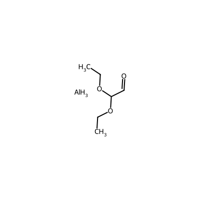 CCOC(C=O)OCC.[AlH3]